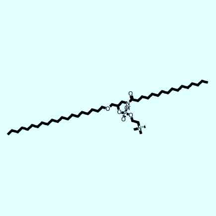 CCCCCCCCCCCCCCCCCCCCOCC(CNC(=O)CCCCCCCCCCCCCCC)OP(=O)([O-])OCC[N+](C)(C)C